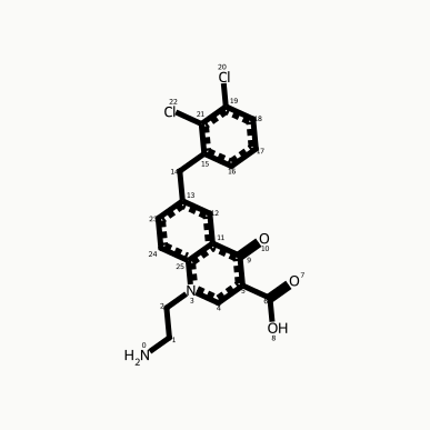 NCCn1cc(C(=O)O)c(=O)c2cc(Cc3cccc(Cl)c3Cl)ccc21